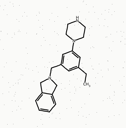 CCc1cc(CN2Cc3ccccc3C2)cc(N2CCNCC2)c1